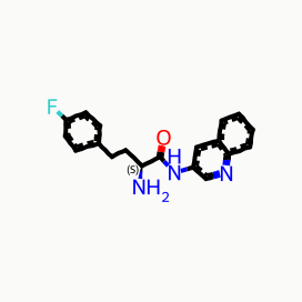 N[C@@H](CCc1ccc(F)cc1)C(=O)Nc1cnc2ccccc2c1